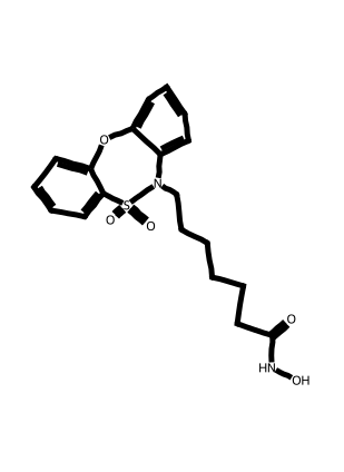 O=C(CCCCCCN1c2ccccc2Oc2ccccc2S1(=O)=O)NO